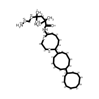 CC(C)(CC(C)(C)C(=O)NC1CCCCC(C2CCCCC(C3CCCCCCCCC3)CCCC2)CCCC1)OCON